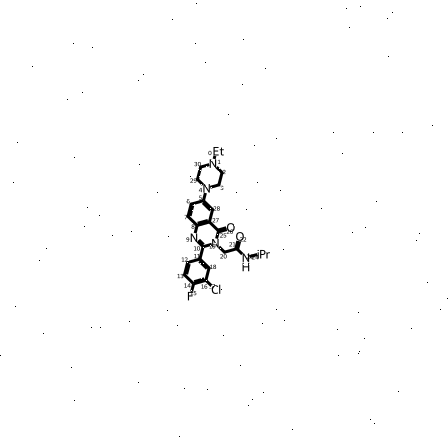 CCN1CCN(c2ccc3nc(-c4ccc(F)c(Cl)c4)n(CC(=O)NC(C)C)c(=O)c3c2)CC1